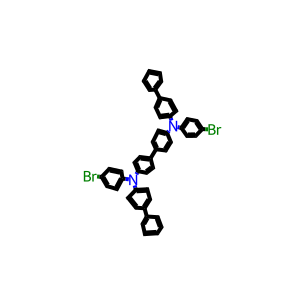 Brc1ccc(N(c2ccc(-c3ccccc3)cc2)c2ccc(-c3ccc(N(c4ccc(Br)cc4)c4ccc(-c5ccccc5)cc4)cc3)cc2)cc1